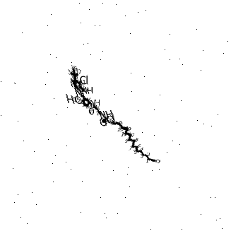 CCCCCCCCCCCCCCCCOC(=O)NCCC(=O)Nc1ccc(O)c(-c2nn3nc(C(C)(C)C)c(Cl)c3[nH]2)c1